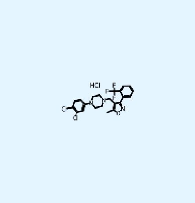 Cc1onc(-c2ccccc2C(F)(F)F)c1CN1CCN(c2ccc(Cl)c(Cl)c2)CC1.Cl